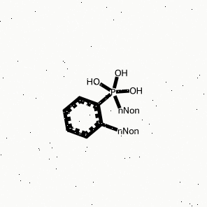 CCCCCCCCCc1ccccc1P(O)(O)(O)CCCCCCCCC